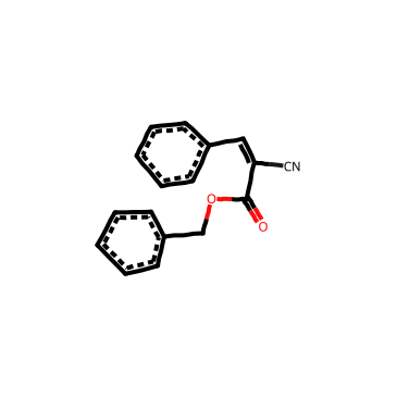 N#CC(=Cc1ccccc1)C(=O)OCc1ccccc1